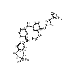 COc1cc(Nc2nccc(Nc3cnc4c(c3)CC(F)(F)CC4)n2)ccc1OC1CC(N(C)C)C1